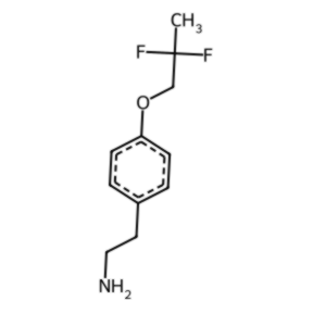 CC(F)(F)COc1ccc(CCN)cc1